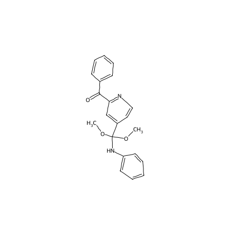 COC(Nc1ccccc1)(OC)c1ccnc(C(=O)c2ccccc2)c1